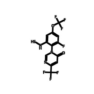 O=c1cc(C(F)(F)F)ncn1-c1c(F)cc(OC(F)(F)F)cc1NS